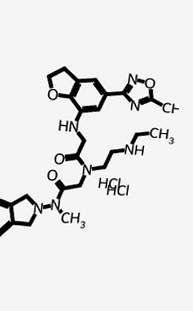 CCNCCN(CC(=O)N(C)N1Cc2ccccc2C1)C(=O)CNc1cc(-c2noc(C)n2)cc2c1OCC2.Cl.Cl